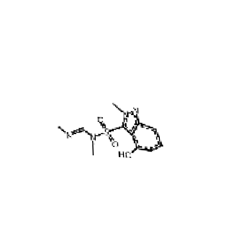 CN=CN(C)S(=O)(=O)c1c2c(O)cccc2nn1C